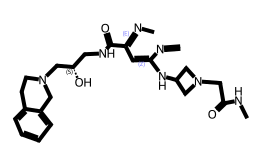 C=N/C(=C\C(=N/C)C(=O)NC[C@H](O)CN1CCc2ccccc2C1)NC1CN(CC(=O)NC)C1